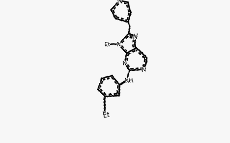 CCc1cccc(Nc2ncc3nc(-c4ccncc4)n(CC)c3n2)c1